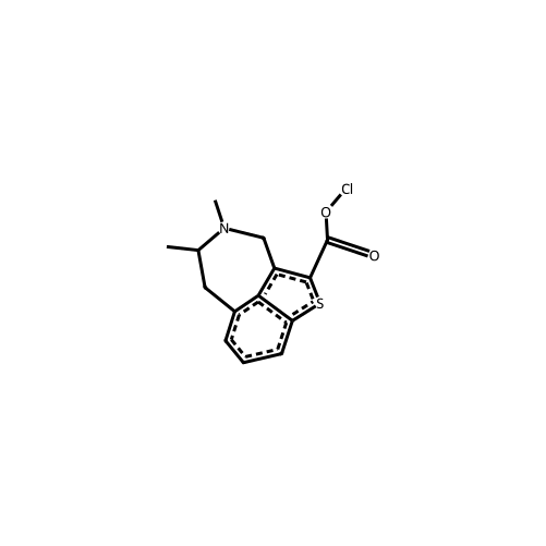 CC1Cc2cccc3sc(C(=O)OCl)c(c23)CN1C